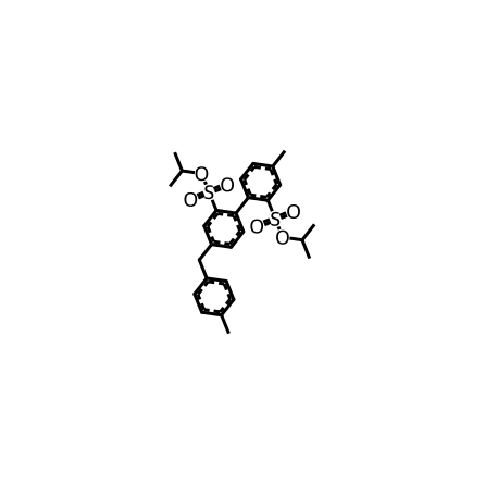 Cc1ccc(Cc2ccc(-c3ccc(C)cc3S(=O)(=O)OC(C)C)c(S(=O)(=O)OC(C)C)c2)cc1